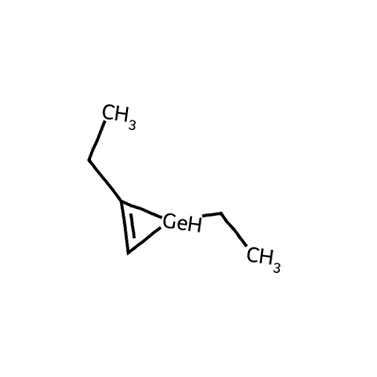 CC[C]1=[CH][GeH]1[CH2]C